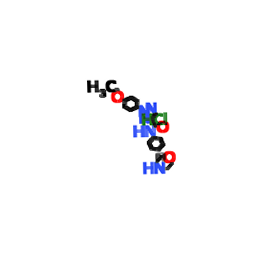 CCOc1ccc(-n2ncc(C(=O)Nc3ccc([C@H]4CNCCO4)cc3)n2)cc1.Cl